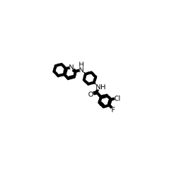 O=C(N[C@H]1CC[C@@H](Nc2ccc3c(n2)CCCC3)CC1)c1ccc(F)c(Cl)c1